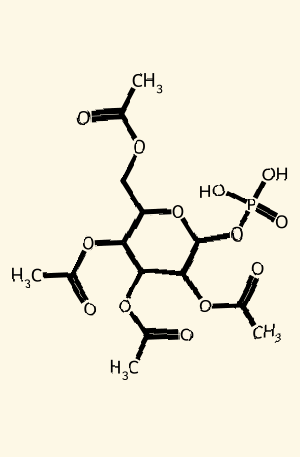 CC(=O)OCC1OC(OP(=O)(O)O)C(OC(C)=O)C(OC(C)=O)C1OC(C)=O